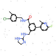 Cc1cc(CNC(=O)c2cc(CNC3=NCCN3)cc(-c3ccc(F)nc3C)c2)ccc1Cl